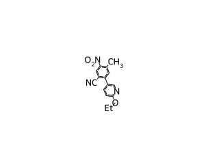 CCOc1ccc(-c2cc(C)c([N+](=O)[O-])cc2C#N)cn1